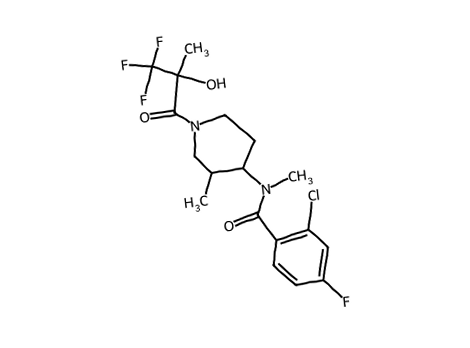 CC1CN(C(=O)C(C)(O)C(F)(F)F)CCC1N(C)C(=O)c1ccc(F)cc1Cl